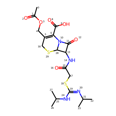 CC(=O)OCC1=C(C(=O)O)N2C(=O)C(NC(=O)CSC(=NC(C)C)NC(C)C)C2SC1